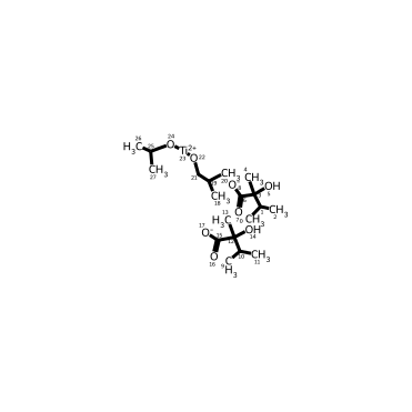 CC(C)C(C)(O)C(=O)[O-].CC(C)C(C)(O)C(=O)[O-].CC(C)C[O][Ti+2][O]C(C)C